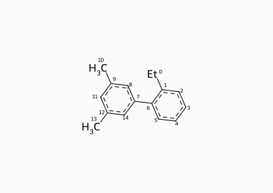 CCc1ccccc1-c1[c]c(C)cc(C)c1